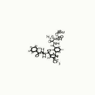 CC(NC(=O)OC(C)(C)C)C(=O)NCc1cccc(-n2nc(C(F)(F)F)cc2C(=O)NNC(=O)c2ccccc2)c1